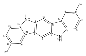 Cc1ccc2[nH]c3cc4c(cc3c2c1)[nH]c1ccc(C)cc14